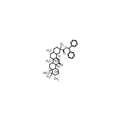 C[C@H]1CC[C@@]2(C)[C@@H](CC[C@]3(C)[C@@H]2C(=O)C=C2[C@@H]4C[C@@](C)(C(=O)OC(c5ccccc5)c5ccccc5)CC[C@]4(C)CC[C@]23C)[C@]1(C)C(=O)O